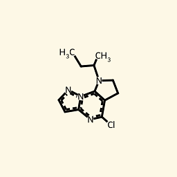 CCC(C)N1CCc2c(Cl)nc3ccnn3c21